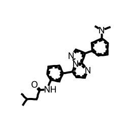 CC(C)CC(=O)Nc1cccc(-c2ccnc3c(-c4cccc(N(C)C)c4)cnn23)c1